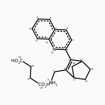 NCC1=C(c2ccc3ccccc3n2)C2CCC1C2.O=C(O)CCC(=O)O